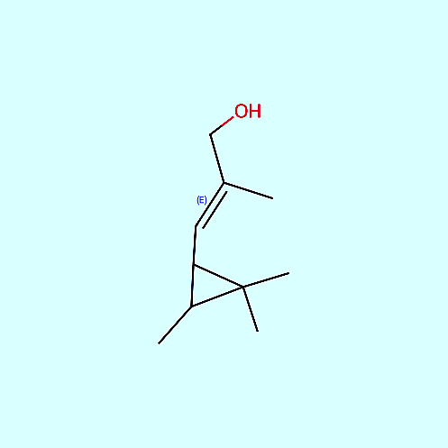 C/C(=C\C1C(C)C1(C)C)CO